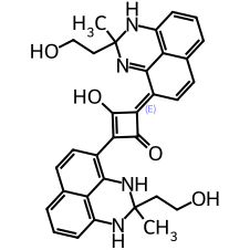 CC1(CCO)N=c2/c(=C3/C(=O)C(c4ccc5cccc6c5c4NC(C)(CCO)N6)=C3O)ccc3cccc(c23)N1